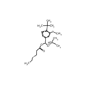 CCCCCC(=O)OC(O[SiH](C)C)c1ccc(C(C)(C)C)c(OC)c1